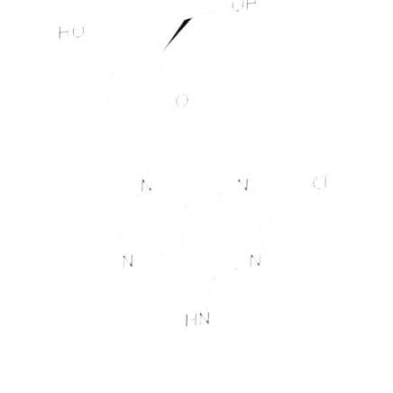 CNc1nc(Cl)nc2c1ncn2C1C[C@H](O)[C@@H](CO)O1